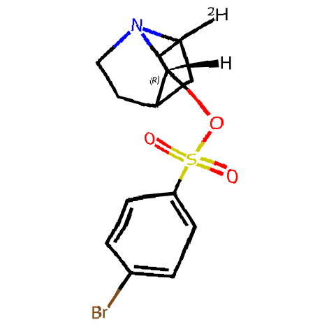 [2H]C1[C@H](OS(=O)(=O)c2ccc(Br)cc2)C2CCN1CC2